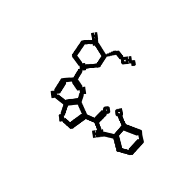 CC[C@@H]1CN(c2cnc3scc(C(=O)Nc4ccccc4Cl)c3n2)CCN1